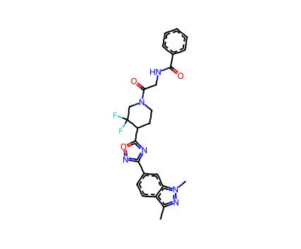 Cc1nn(C)c2cc(-c3noc(C4CCN(C(=O)CNC(=O)c5ccccc5)CC4(F)F)n3)ccc12